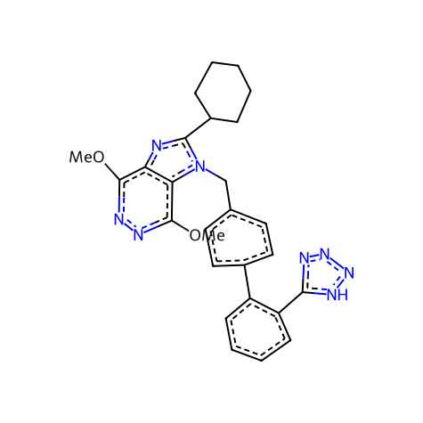 COc1nnc(OC)c2c1nc(C1CCCCC1)n2Cc1ccc(-c2ccccc2-c2nnn[nH]2)cc1